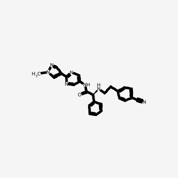 Cn1cc(-c2ncc(NC(=O)[C@@H](NCCc3ccc(C#N)cc3)c3ccccc3)cn2)cn1